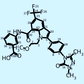 COCCn1c(-c2ccc(-n3c(C)nn(C)c3=O)cc2)cc2cc(C(F)(F)F)cc(C(=O)Nc3cccc(C(=O)O)c3)c21